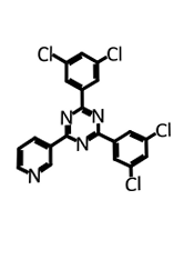 Clc1cc(Cl)cc(-c2nc(-c3cccnc3)nc(-c3cc(Cl)cc(Cl)c3)n2)c1